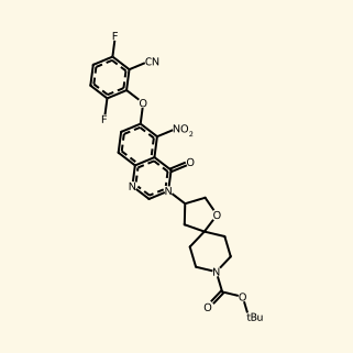 CC(C)(C)OC(=O)N1CCC2(CC1)CC(n1cnc3ccc(Oc4c(F)ccc(F)c4C#N)c([N+](=O)[O-])c3c1=O)CO2